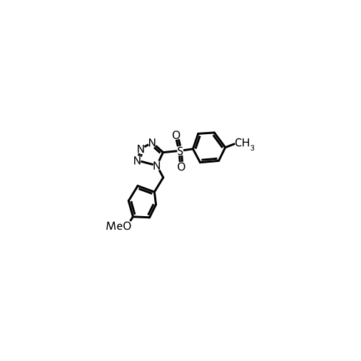 COc1ccc(Cn2nnnc2S(=O)(=O)c2ccc(C)cc2)cc1